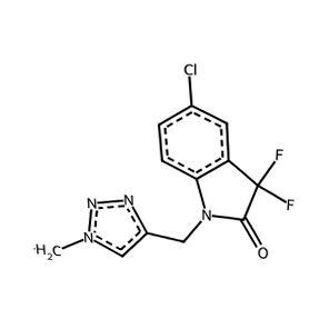 [CH2]n1cc(CN2C(=O)C(F)(F)c3cc(Cl)ccc32)nn1